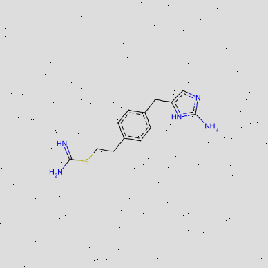 N=C(N)SCCc1ccc(Cc2cnc(N)[nH]2)cc1